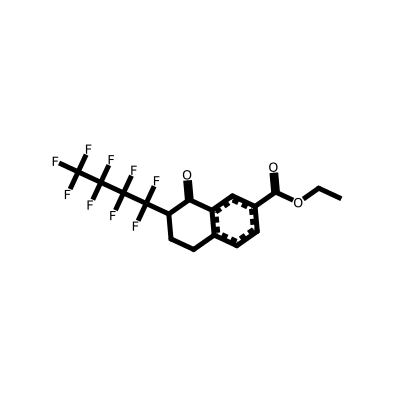 CCOC(=O)c1ccc2c(c1)C(=O)C(C(F)(F)C(F)(F)C(F)(F)C(F)(F)F)CC2